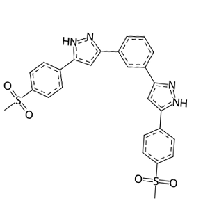 CS(=O)(=O)c1ccc(-c2cc(-c3cccc(-c4cc(-c5ccc(S(C)(=O)=O)cc5)[nH]n4)c3)n[nH]2)cc1